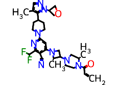 C=CC(=O)N1CCN(C2CN(c3cc(N4CCC(c5c(C)cnn5C5COC5)CC4)nc(C(F)F)c3C#N)[C@@H]2C)C[C@H]1C